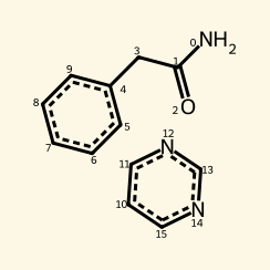 NC(=O)Cc1ccccc1.c1cncnc1